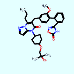 CCCc1c(Cc2ccc(-c3ccccc3-c3noc(=O)[nH]3)c(OC)c2)c(=O)n(C2CCC(OCC(C)(C)O)CC2)c2ccnn12